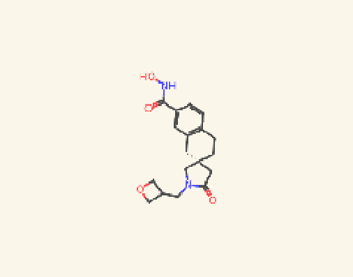 O=C(NO)c1ccc2c(c1)C[C@]1(CC2)CC(=O)N(CC2COC2)C1